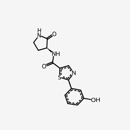 O=C(N[C@H]1CCNC1=O)c1cnc(-c2cccc(O)c2)s1